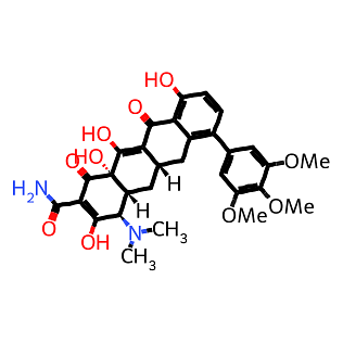 COc1cc(-c2ccc(O)c3c2C[C@@H]2C[C@@H]4[C@@H](N(C)C)C(O)=C(C(N)=O)C(=O)[C@@]4(O)C(O)=C2C3=O)cc(OC)c1OC